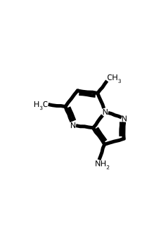 Cc1cc(C)n2ncc(N)c2n1